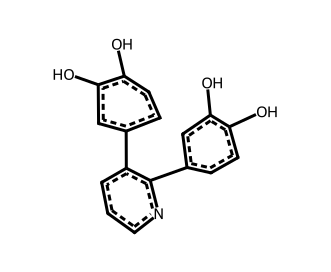 Oc1ccc(-c2cccnc2-c2ccc(O)c(O)c2)cc1O